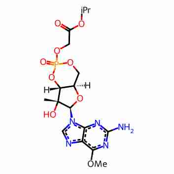 COc1nc(N)nc2c1ncn2[C@@H]1O[C@@H]2COP(=O)(OCC(=O)OC(C)C)O[C@H]2[C@@]1(C)O